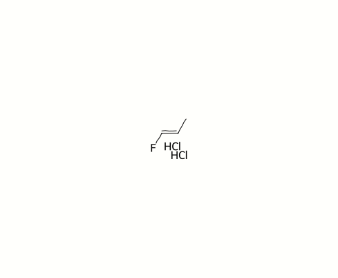 CC=CF.Cl.Cl